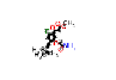 COC(=O)CC(=O)c1cc(OCC(N)=O)c(C#C[Si](C)(C)C)cc1F